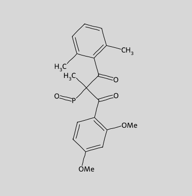 COc1ccc(C(=O)C(C)(P=O)C(=O)c2c(C)cccc2C)c(OC)c1